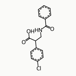 O=C(NCC(C(=O)O)c1ccc(Cl)cc1)c1ccccc1